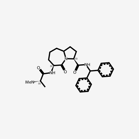 CN[C@@H](C)C(=O)N[C@H]1CCCC2CC[C@@H](C(=O)NC(c3ccccc3)c3ccccc3)N2C1=O